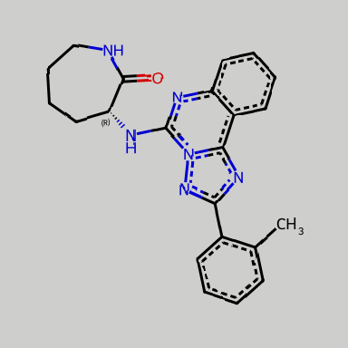 Cc1ccccc1-c1nc2c3ccccc3nc(N[C@@H]3CCCCNC3=O)n2n1